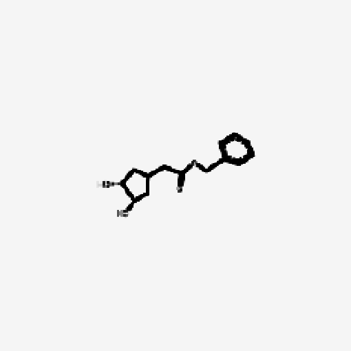 O=C(CC1C[C@@H](O)[C@H](O)C1)OCc1ccccc1